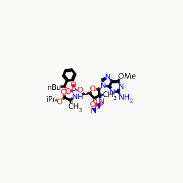 CCCCC(OP(=O)(N[C@@H](C)C(=O)OC(C)C)OC[C@H]1O[C@H](n2cnc3c(OC)nc(N)nc32)[C@](C)(N=[N+]=[N-])[C@@H]1O)c1ccccc1